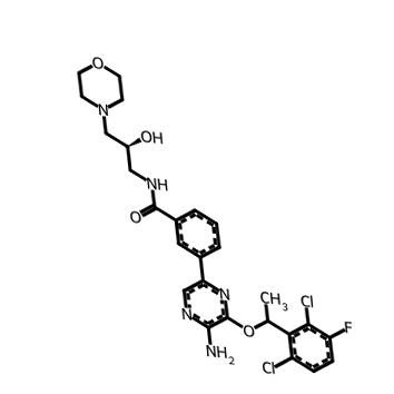 CC(Oc1nc(-c2cccc(C(=O)NC[C@H](O)CN3CCOCC3)c2)cnc1N)c1c(Cl)ccc(F)c1Cl